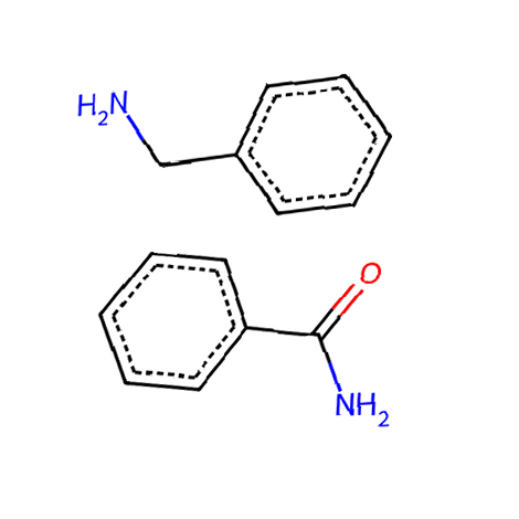 NC(=O)c1ccccc1.NCc1ccccc1